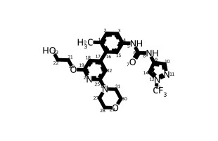 Cc1ccc(NC(=O)Nc2cnn(C(F)(F)F)c2)cc1-c1cc(OCCO)nc(N2CCOCC2)c1